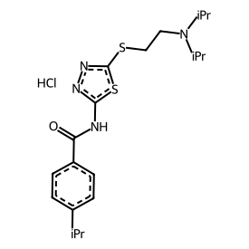 CC(C)c1ccc(C(=O)Nc2nnc(SCCN(C(C)C)C(C)C)s2)cc1.Cl